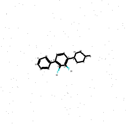 CC1CCC(c2ccc(-c3ccccc3)c(F)c2F)CC1